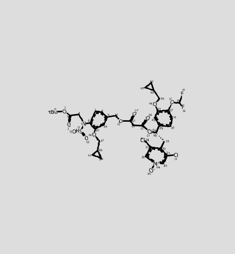 CC(C)(C)OC(=O)CN(c1ccc(COC(=O)CC(=O)O[C@@H](Cc2c(Cl)c[n+]([O-])cc2Cl)c2ccc(OC(F)F)c(OCC3CC3)c2)cc1OCC1CC1)[SH](=O)=O